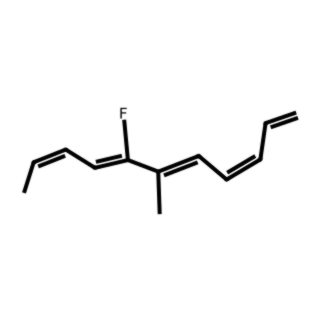 C=C\C=C/C=C(C)/C(F)=C/C=C\C